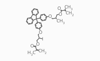 C=C(C)C(=O)OCC(C)COc1ccc(C2(c3ccc(OCC(I)COC(=O)C(=C)C)cc3)c3ccccc3-c3ccccc32)cc1